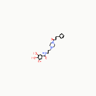 O=C(NCCCN1CCN(C(=O)C=Cc2ccccc2)CC1)c1cc(O)c(O)c(O)c1